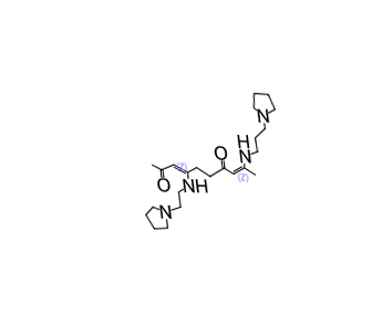 CC(=O)/C=C(/CCC(=O)/C=C(/C)NCCCN1CCCC1)NCCN1CCCC1